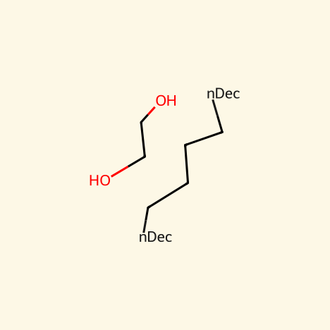 CCCCCCCCCCCCCCCCCCCCCCCC.OCCO